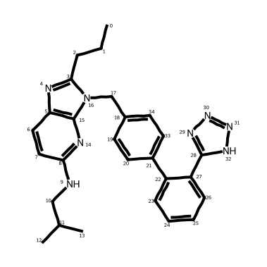 CCCc1nc2ccc(NCC(C)C)nc2n1Cc1ccc(-c2ccccc2-c2nnn[nH]2)cc1